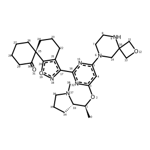 C[C@H](Oc1cc(N2CCNC3(COC3)C2)nc(-c2noc3c2CCC[C@@]32CCCCC2=O)n1)[C@@H]1CCCN1C